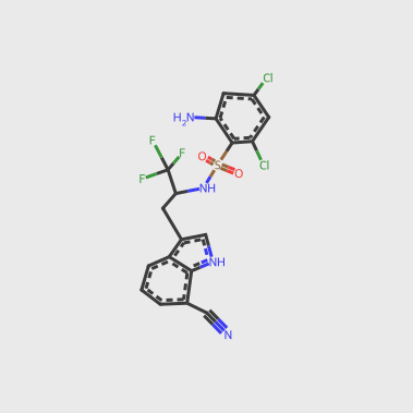 N#Cc1cccc2c(CC(NS(=O)(=O)c3c(N)cc(Cl)cc3Cl)C(F)(F)F)c[nH]c12